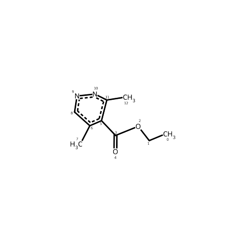 CCOC(=O)c1c(C)cnnc1C